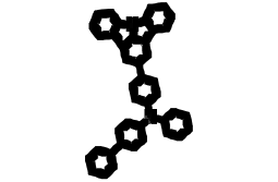 c1ccc(-c2ccc(N(c3ccccc3)c3ccc(-c4cc5c6ccccc6n6c7ccccc7c(c4)c56)cc3)cc2)cc1